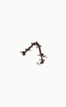 NC(=O)C(CCCCNC(=O)c1ccc([N+](=O)[O-])o1)NC(=O)CCOCCOCCNC(=O)C1CCN(C(=O)C2CCN(C(=O)CCOCCOCCNC(=O)CCCc3c[nH]c4ccccc34)CC2)CC1